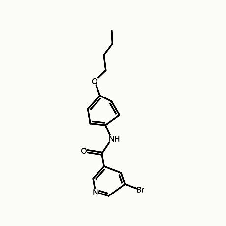 CCCCOc1ccc(NC(=O)c2cncc(Br)c2)cc1